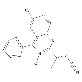 CC(SC#N)c1nc2ccc(Cl)cc2c(-c2ccccc2)[n+]1[O-]